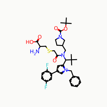 CC(C)(C)OC(=O)N1CCC(CN(C(=O)CSCC(N)C(=O)O)C(c2cc(-c3cc(F)ccc3F)cn2Cc2ccccc2)C(C)(C)C)C1